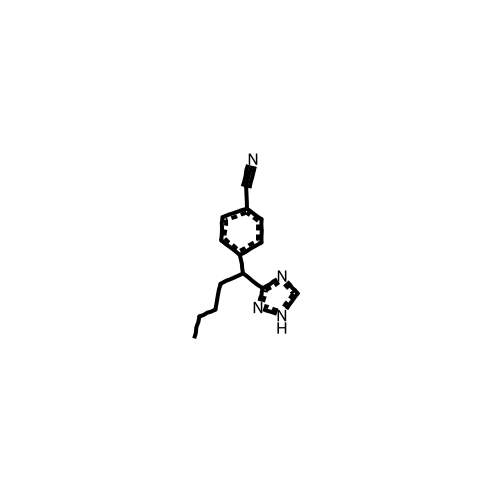 CCCCC(c1ccc(C#N)cc1)c1nc[nH]n1